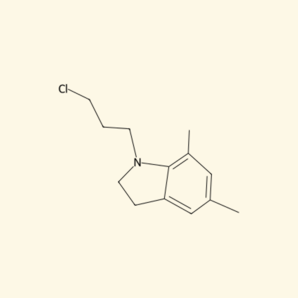 Cc1cc(C)c2c(c1)CCN2CCCCl